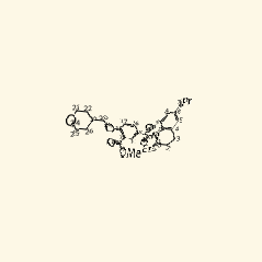 CC[C@@H]1CCc2cc(C(C)C)ccc2N1S(=O)(=O)c1ccc(OCC2CCOCC2)c(C(=O)OC)c1